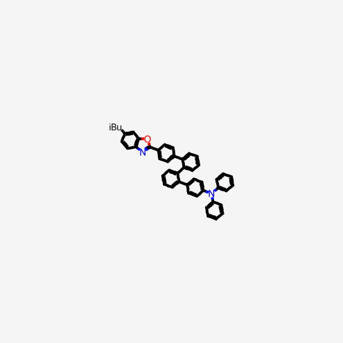 CCC(C)c1ccc2nc(-c3ccc(-c4ccccc4-c4ccccc4-c4ccc(N(c5ccccc5)c5ccccc5)cc4)cc3)oc2c1